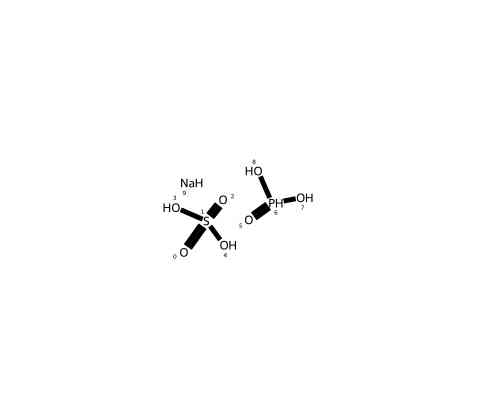 O=S(=O)(O)O.O=[PH](O)O.[NaH]